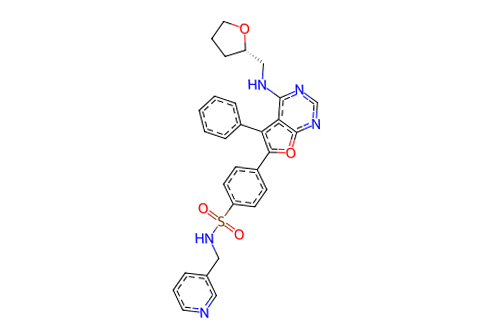 O=S(=O)(NCc1cccnc1)c1ccc(-c2oc3ncnc(NC[C@@H]4CCCO4)c3c2-c2ccccc2)cc1